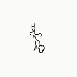 O=C1NCCN1c1cnc2ccccc2c1